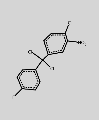 O=[N+]([O-])c1cc(C(Cl)(Cl)c2ccc(F)cc2)ccc1Cl